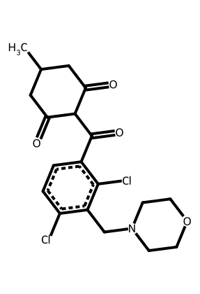 CC1CC(=O)C(C(=O)c2ccc(Cl)c(CN3CCOCC3)c2Cl)C(=O)C1